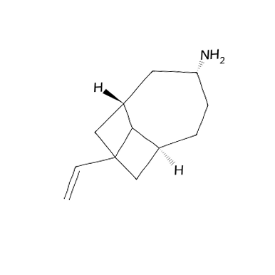 C=CC12C[C@@H]3CC[C@@H](N)C[C@@H](C1)C32